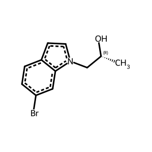 C[C@@H](O)Cn1ccc2ccc(Br)cc21